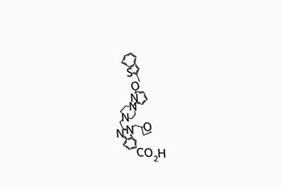 O=C(O)c1ccc2nc(CN3CCN(c4cccc(OCc5cc6ccccc6s5)n4)CC3)n(CC3CCO3)c2c1